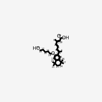 CC(C=CC=C(C)c1cc2c(cc1OCCCCCO)C(C)(C)CCC2(C)C)=CC(=O)O